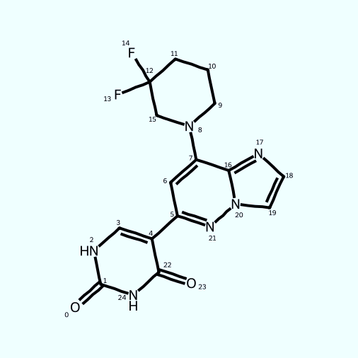 O=c1[nH]cc(-c2cc(N3CCCC(F)(F)C3)c3nccn3n2)c(=O)[nH]1